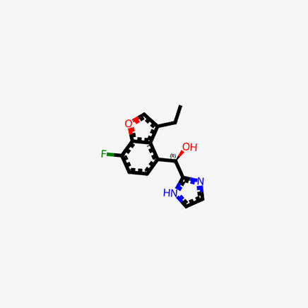 CCc1coc2c(F)ccc([C@@H](O)c3ncc[nH]3)c12